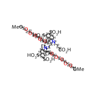 CC[N+]1=C(/C=C/C=C2/N(CCCCCC(=O)O)c3ccc4c(S(=O)(=O)O)cc(S(=O)(=O)O)cc4c3C2(C)CCOCCOCCOCCOCCOCCOC)C(C)(CCOCCOCCOCCOCCOCCOC)c2c1ccc1c(S(=O)(=O)O)cc(S(=O)(=O)O)cc21